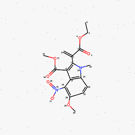 C=C(C(=O)OCC)c1c(C(=O)OC)c2c([N+](=O)[O-])c(OC)ccc2n1C